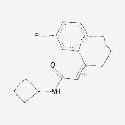 O=C(/C=C1/CCCc2ccc(F)cc21)NC1CCC1